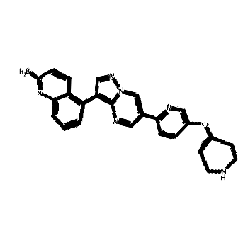 Bc1ccc2c(-c3cnn4cc(-c5ccc(OC6CCNCC6)cn5)cnc34)cccc2n1